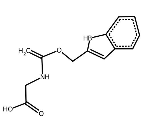 C=C(NCC(=O)O)OCC1=Cc2ccccc2B1